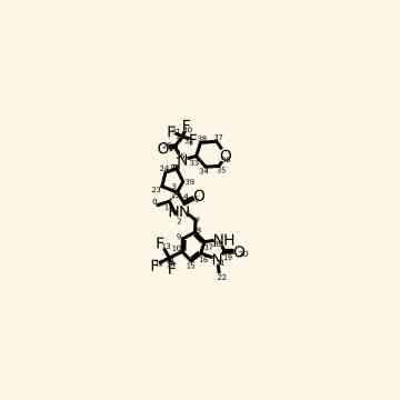 CC(C)[C@]1(C(=O)NCc2cc(C(F)(F)F)cc3c2[nH]c(=O)n3C)CC[C@@H](N(C(=O)C(F)(F)F)C2CCOCC2)C1